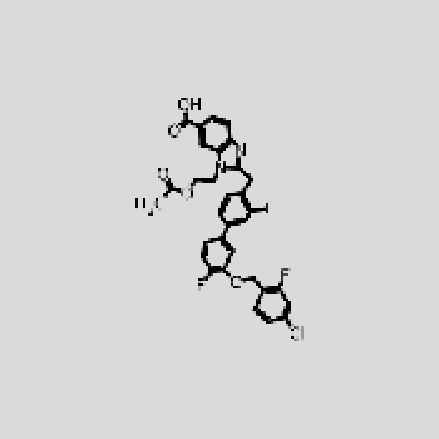 CC(=O)OCCn1c(Cc2ccc(-c3ccc(F)c(OCc4ccc(Cl)cc4F)c3)cc2F)nc2ccc(C(=O)O)cc21